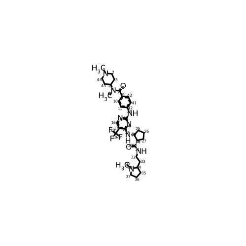 CN1CCC(N(C)C(=O)c2ccc(Nc3ncc(C(F)(F)F)c(N[C@@H]4CCC[C@@H]4C(=O)NCCC4CCCN4C)n3)cc2)CC1